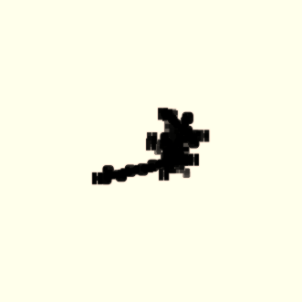 CC(C)[C@H](NC(=O)C(CCC(=O)O)NC(=O)[C@H](CC=O)NCCN=[N+]=[N-])C(=O)NC(CC(=O)O)C(=O)N[C@@H](C)C(=O)NCCOCCOCCOCCOCCC(=O)O